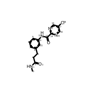 CNC(=O)CCc1cccc(NC(=O)c2ncc(Cl)cn2)c1